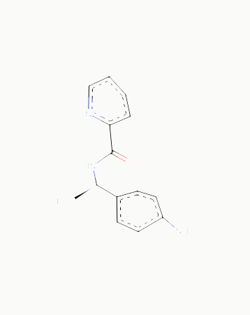 C[C@@H](NC(=O)c1ccccn1)c1ccc(N)cc1